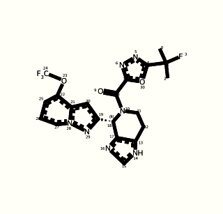 CC(C)(F)c1nnc(C(=O)N2CCc3[nH]cnc3[C@@H]2c2cc3c(OC(F)(F)F)cccn3n2)o1